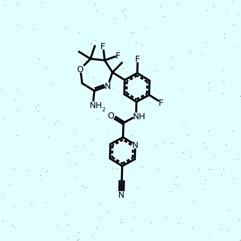 CC1(C)OCC(N)=NC(C)(c2cc(NC(=O)c3ccc(C#N)cn3)c(F)cc2F)C1(F)F